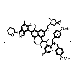 COc1ccc(CN(Cc2ccc(OC)cc2)c2ncc(F)cc2[C@H](C)C2c3cc(OC[C@@H]4CC5(CC5)CN4C)cc4c(F)c(-c5c(C(F)(F)F)c(C)cc6c5cnn6C5CCCCO5)cc(c34)CC[C@@H]2C)cc1